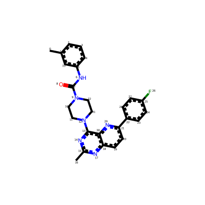 Cc1cccc(NC(=O)N2CCN(c3nc(C)nc4ccc(-c5ccc(F)cc5)nc34)CC2)c1